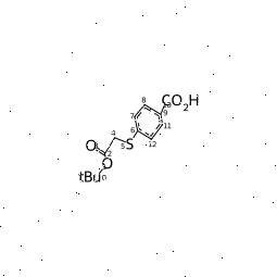 CC(C)(C)OC(=O)CSc1ccc(C(=O)O)cc1